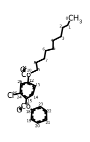 CCCCCCCCC[CH2][Co](=[O])[c]1cc[c]([Co](=[O])[c]2ccccc2)c(Cl)c1